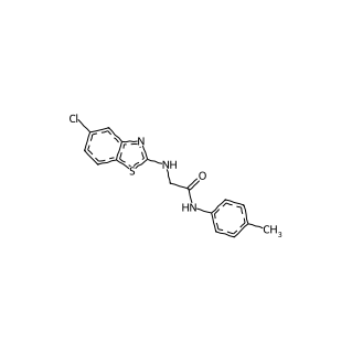 Cc1ccc(NC(=O)CNc2nc3cc(Cl)ccc3s2)cc1